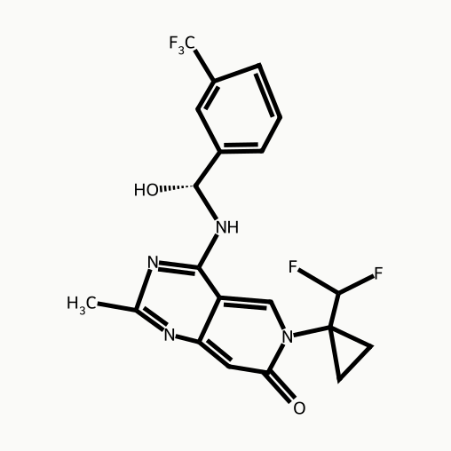 Cc1nc(N[C@H](O)c2cccc(C(F)(F)F)c2)c2cn(C3(C(F)F)CC3)c(=O)cc2n1